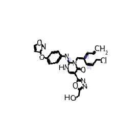 C=C/C=C(\C=C/CCl)Cn1c(=O)c(-c2nnc(CO)o2)c[nH]/c1=N\c1ccc(Oc2ccon2)cc1